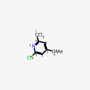 COc1cc(Cl)nc(C(Cl)(Cl)Cl)c1